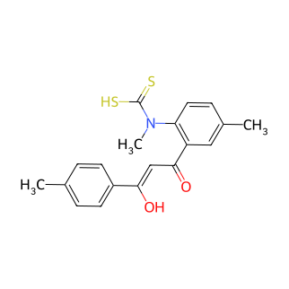 Cc1ccc(/C(O)=C/C(=O)c2cc(C)ccc2N(C)C(=S)S)cc1